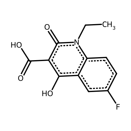 CCn1c(=O)c(C(=O)O)c(O)c2cc(F)ccc21